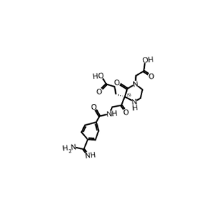 N=C(N)c1ccc(C(=O)NCC(=O)[C@]2(CCC(=O)O)NCCN(CC(=O)O)C2=O)cc1